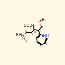 CCOCC(C1=CC=CC=CN1)C(CC[SiH2]CC)C(=O)O